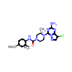 COc1ccc(NC(=O)N2CCN(c3nc(N)nc4c(Cl)cnn34)[C@@H](C)C2)c(C)c1